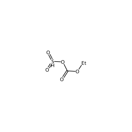 CCOC(=O)O[SH](=O)=O